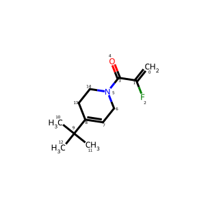 C=C(F)C(=O)N1CC=C(C(C)(C)C)CC1